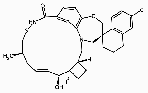 C[C@@H]1C/C=C/[C@H](O)[C@@H]2CC[C@H]2CN2C[C@@]3(CCCc4cc(Cl)ccc43)COc3ccc(cc32)C(=O)NSC1